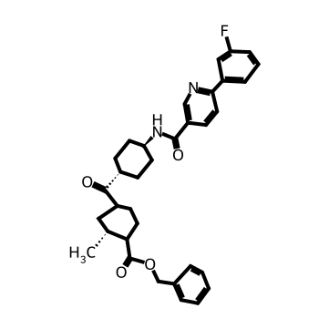 C[C@@H]1CC(C(=O)[C@H]2CC[C@H](NC(=O)c3ccc(-c4cccc(F)c4)nc3)CC2)CCC1C(=O)OCc1ccccc1